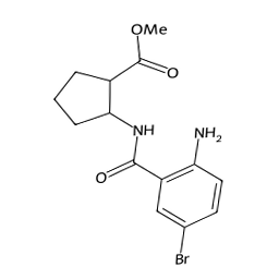 COC(=O)C1CCCC1NC(=O)c1cc(Br)ccc1N